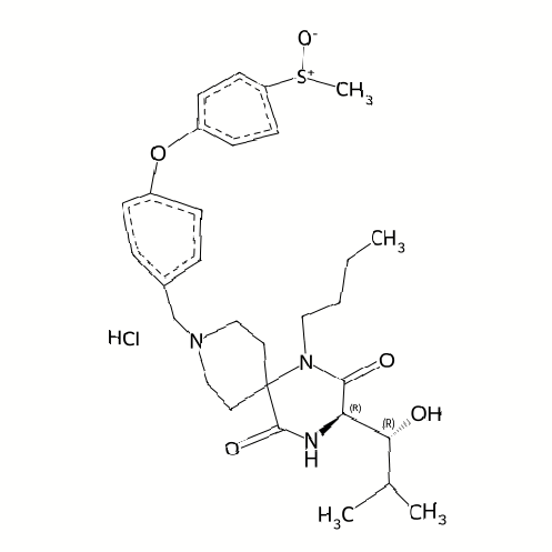 CCCCN1C(=O)[C@@H]([C@H](O)C(C)C)NC(=O)C12CCN(Cc1ccc(Oc3ccc([S+](C)[O-])cc3)cc1)CC2.Cl